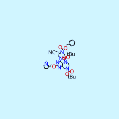 CN1CCC[C@H]1COc1nc2c(c(N3CCN(C(=O)OCc4ccccc4)[C@@H](CC#N)C3)n1)N(C(=O)OC(C)(C)C)CCN(C(=O)OC(C)(C)C)C2